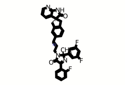 C[C@@]1(c2cc(F)cc(F)c2)N=C(c2ccccc2F)C(=O)N1C/C=C/c1ccc2c(c1)C[C@@]1(C2)C(=O)Nc2ncccc21